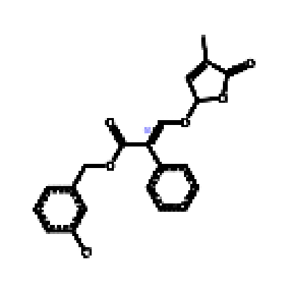 CC1=CC(O/C=C(/C(=O)OCc2cccc(Cl)c2)c2ccccc2)OC1=O